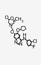 C[C@H]1CN(CCOc2cc3ncnc(Nc4ccc(F)c(Cl)c4)c3cc2OC2CCCC2)CC(=O)O1